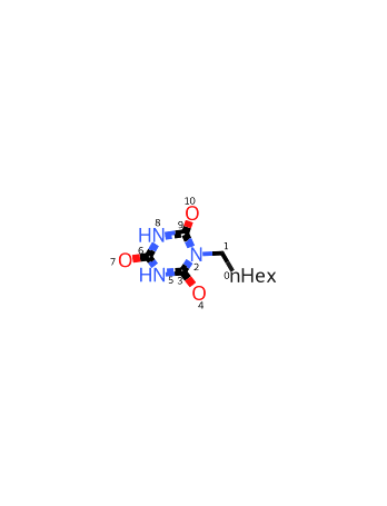 CCCCCCCn1c(=O)[nH]c(=O)[nH]c1=O